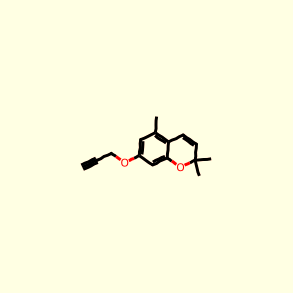 C#CCOc1cc(C)c2c(c1)OC(C)(C)C=C2